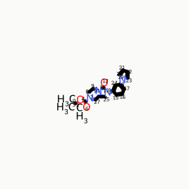 CC(C)(C)OC(=O)N1CCN2C(=O)N(c3cccc(-n4cccc4)c3)CC2C1